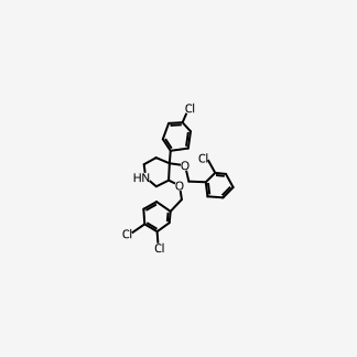 Clc1ccc(C2(OCc3ccccc3Cl)CCNCC2OCc2ccc(Cl)c(Cl)c2)cc1